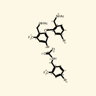 CC(=O)NCc1ccc(Br)cc1C(F)(F)F.CC(=O)NCc1ccc(Br)cc1Cl.CCC(=O)NCc1ccc(Br)cc1C(F)(F)F